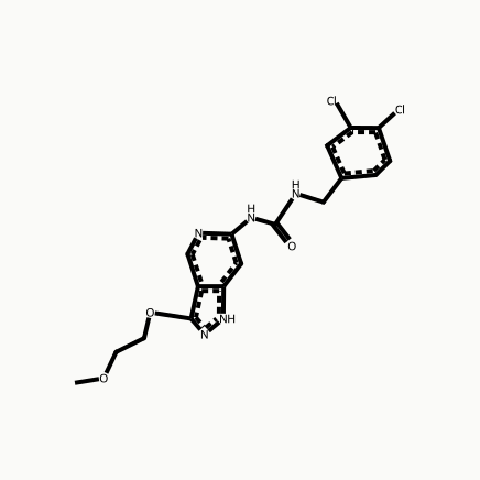 COCCOc1n[nH]c2cc(NC(=O)NCc3ccc(Cl)c(Cl)c3)ncc12